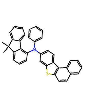 CC1(C)c2ccccc2-c2c(N(c3ccccc3)c3ccc4c(c3)sc3ccc5ccccc5c34)cccc21